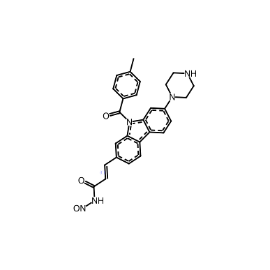 Cc1ccc(C(=O)n2c3cc(/C=C/C(=O)NN=O)ccc3c3ccc(N4CCNCC4)cc32)cc1